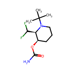 CC(C)(C)N1CCC[C@@H](OC(N)=O)[C@H]1C(F)F